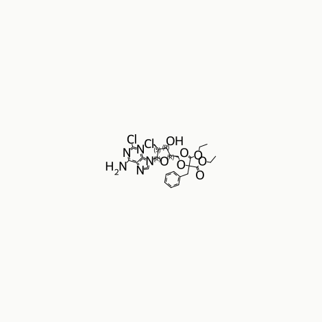 CCOC(=O)C(Cc1ccccc1)(OC[C@H]1O[C@@H](n2cnc3c(N)nc(Cl)nc32)[C@@H](Cl)[C@@H]1O)C(=O)OCC